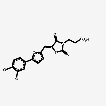 O=C(O)CCN1C(=O)C(=Cc2ccc(-c3ccc(Cl)c(Cl)c3)o2)SC1=S